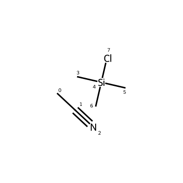 CC#N.C[Si](C)(C)Cl